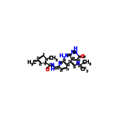 Cc1ccc(C)c(C(=O)NCc2ccc(-c3cn(C(C)C(F)(F)F)c4c(=O)[nH]nc(N)c34)cn2)c1